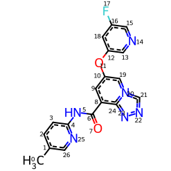 Cc1ccc(NC(=O)c2cc(Oc3cncc(F)c3)cn3cnnc23)nc1